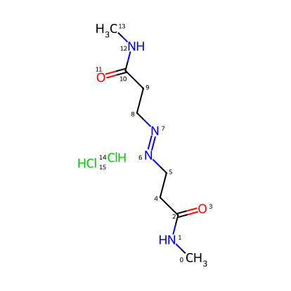 CNC(=O)CCN=NCCC(=O)NC.Cl.Cl